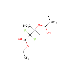 C=C(C)C(O)OC(C)(C(=O)OCC)C(F)(F)C(=O)OCC(F)(F)F